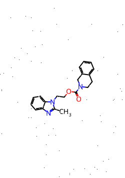 Cc1nc2ccccc2n1CCOC(=O)N1CCc2ccccc2C1